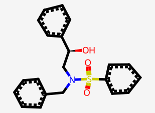 O=S(=O)(c1ccccc1)N(Cc1ccccc1)C[C@H](O)c1ccccc1